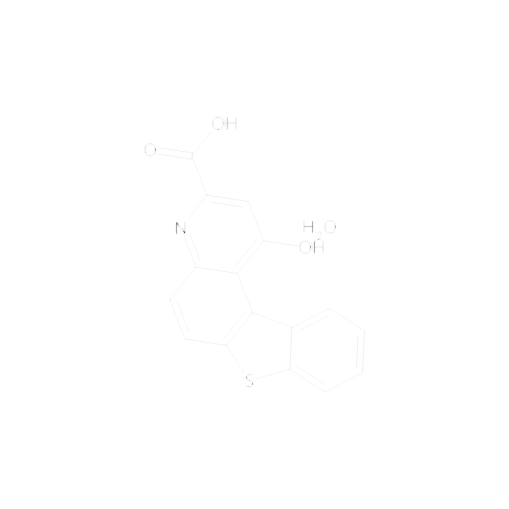 O.O=C(O)c1cc(O)c2c(ccc3sc4ccccc4c32)n1